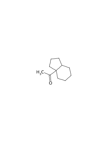 CC(=O)C12CCCCC1CCC2